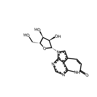 O=C1C=Cc2cn([C@@H]3O[C@H](CO)[C@@H](O)[C@H]3O)c3ncnc(c23)N1